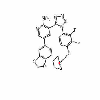 Nc1ncc(-c2ccc3c(c2)OCO3)cc1-c1nnnn1-c1ccc(OC2CC3CCC2CC3)c(F)c1F